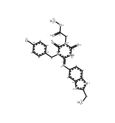 CCc1nc2ccc(/N=c3\[nH]c(=O)n(CC(=O)OC)c(=O)n3Cc3ccc(Cl)cc3)cc2s1